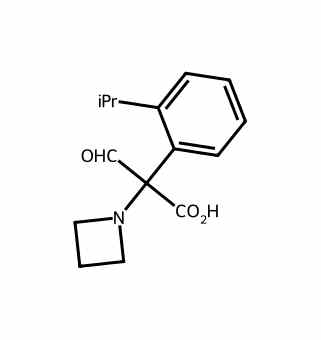 CC(C)c1ccccc1C(C=O)(C(=O)O)N1CCC1